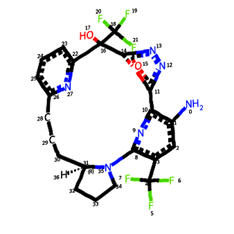 Nc1cc(C(F)(F)F)c2nc1-c1nnc(o1)C(O)(C(F)(F)F)c1cccc(n1)CCC[C@@H]1CCCN21